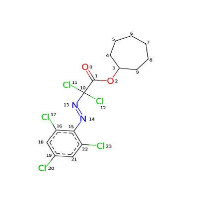 O=C(OC1CCCCCC1)C(Cl)(Cl)N=Nc1c(Cl)cc(Cl)cc1Cl